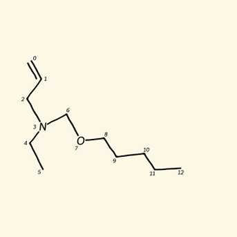 C=CCN(CC)COCCCCC